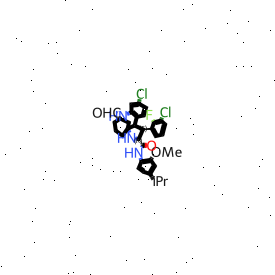 COc1cc(C(C)C)ccc1NC(=O)[C@@H]1NC2(CCCCC2)C(c2ccc(Cl)cc2NC=O)[C@H]1c1cccc(Cl)c1F